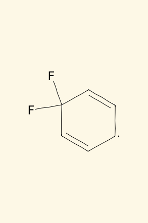 FC1(F)C=C[CH]C=C1